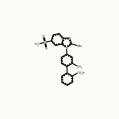 CCCCc1nc2ccc(S(C)(=O)=O)cc2n1-c1ccc(-c2ccccc2C(=O)O)c(C)c1